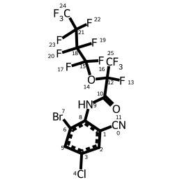 N#Cc1cc(Cl)cc(Br)c1NC(=O)C(F)(OC(F)(F)C(F)(F)C(F)(F)C(F)(F)F)C(F)(F)F